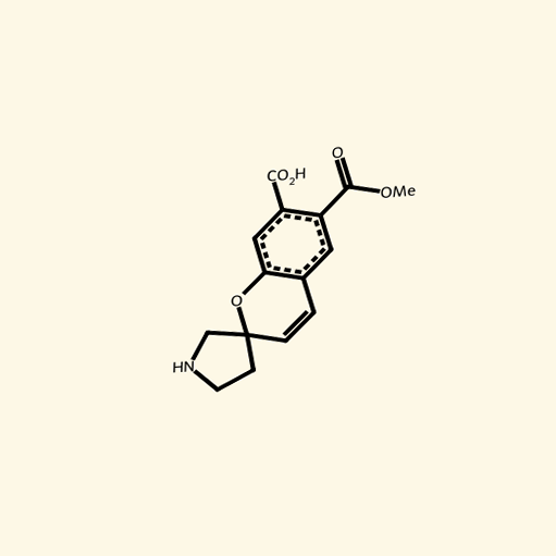 COC(=O)c1cc2c(cc1C(=O)O)OC1(C=C2)CCNC1